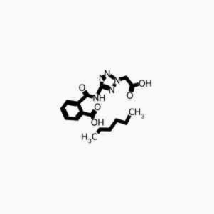 CCCCCC.O=C(O)Cn1nnc(NC(=O)c2ccccc2C(=O)O)n1